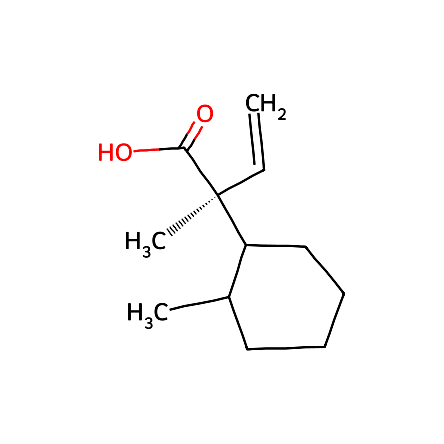 C=C[C@](C)(C(=O)O)C1CCCCC1C